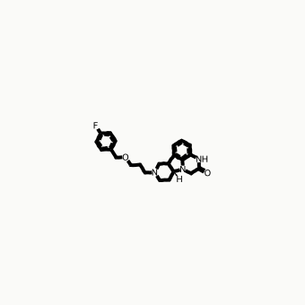 O=C1CN2c3c(cccc3C3CN(CCCOCc4ccc(F)cc4)CC[C@@H]32)N1